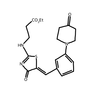 CCOC(=O)CCNC1=NC(=O)C(=Cc2cccc(N3CCC(=O)CC3)c2)S1